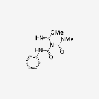 CNC(=O)N(C(=N)OC)C(=O)Nc1ccccc1